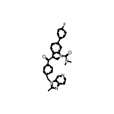 Cc1nc2ccncc2n1Cc1ccc(C(=O)c2cn(C(=O)N(C)C)c3cc(-c4ccc(F)cc4)ccc23)cc1